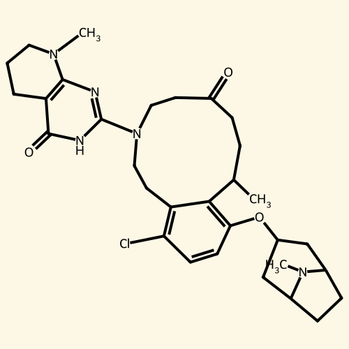 CC1CCC(=O)CCN(c2nc3c(c(=O)[nH]2)CCCN3C)CCc2c(Cl)ccc(OC3CC4CCC(C3)N4C)c21